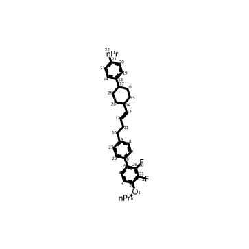 CCCOc1ccc(-c2ccc(CC/C=C/C3CCC(c4ccc(CCC)cc4)CC3)cc2)c(F)c1F